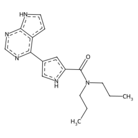 CCCN(CCC)C(=O)c1cc(-c2ncnc3[nH]ccc23)c[nH]1